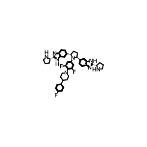 Fc1ccc(C2CCN(c3c(F)cc(N4[C@@H](c5ccc6nc([C@@H]7CCCN7)[nH]c6c5)CC[C@H]4c4ccc5nc([C@@H]6CCCN6)[nH]c5c4)cc3F)CC2)cc1